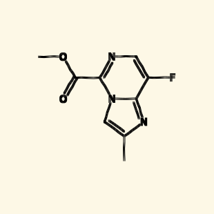 COC(=O)c1ncc(F)c2nc(C)cn12